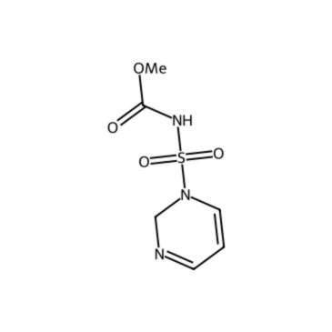 COC(=O)NS(=O)(=O)N1C=CC=NC1